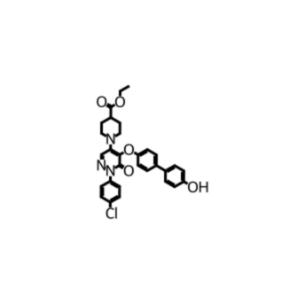 CCOC(=O)C1CCN(c2cnn(-c3ccc(Cl)cc3)c(=O)c2Oc2ccc(-c3ccc(O)cc3)cc2)CC1